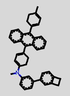 CC1=CC=C(c2c3ccccc3c(C3=CC=C(N(C)c4cccc(-c5ccc6c(c5)CC6)c4)CC3)c3ccccc23)CC1